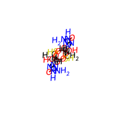 C=P1(S)OC[C@H]2O[C@@H](n3cnc4c(=O)[nH]c(N)nc43)[C@H](O)[C@@H]2OP(=C)(S)OC[C@@H]2O[C@H](n3cnc4c(=O)[nH]c(N)nc43)[C@H](O)[C@H]2O1